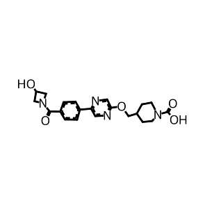 O=C(O)N1CCC(COc2cnc(-c3ccc(C(=O)N4CC(O)C4)cc3)cn2)CC1